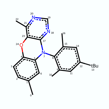 Cc1ccc2c(c1)N(c1c(C)cc(C(C)(C)C)cc1C)c1ncnc(C)c1O2